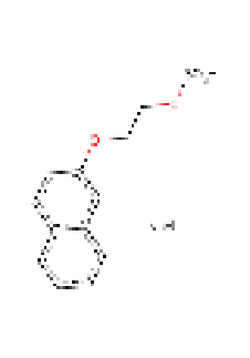 O=S(=O)(O)OCCOc1ccc2ccccc2c1.[NaH]